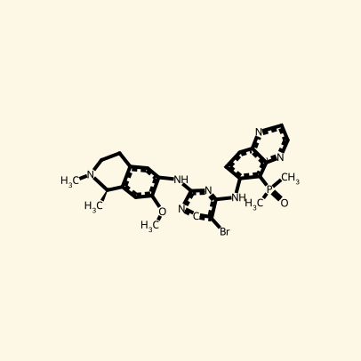 COc1cc2c(cc1Nc1ncc(Br)c(Nc3ccc4nccnc4c3P(C)(C)=O)n1)CCN(C)[C@@H]2C